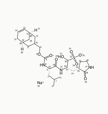 CC(C)C[C@H](NC(=O)OCC1C[C@@H]2C=CC[C@H](C1)C2)C(=O)N[C@@H](C[C@@H]1CCNC1=O)C(O)S(=O)(=O)[O-].[Na+]